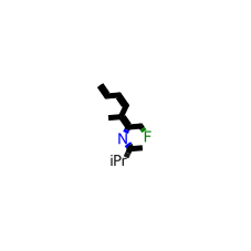 C=C\C=C/C(C)=C(CF)/N=C(\C)C(C)C